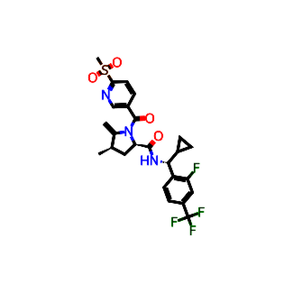 C=C1[C@H](C)C[C@H](C(=O)N[C@@H](c2ccc(C(F)(F)F)cc2F)C2CC2)N1C(=O)c1ccc(S(C)(=O)=O)nc1